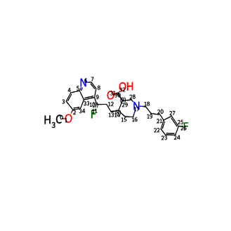 COc1ccc2nccc([C@@H](F)CC[C@@H]3CCN(CCCc4cccc(F)c4)C[C@@H]3C(=O)O)c2c1